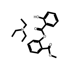 CCN(CC)CC.COC(=O)c1ccccc1OC(=O)c1ccccc1O